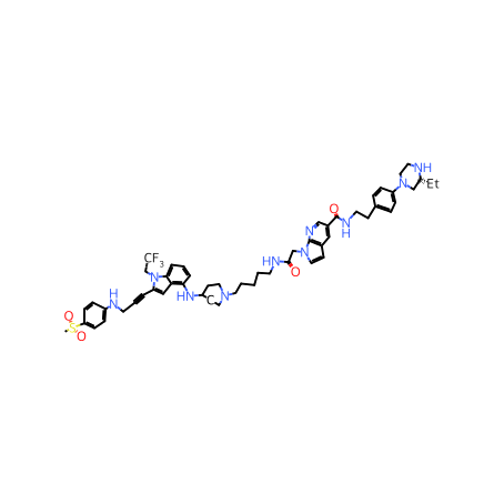 CC[C@@H]1CN(c2ccc(CCNC(=O)c3cnc4c(ccn4CC(=O)NCCCCCN4CCC(Nc5cccc6c5cc(C#CCNc5ccc(S(C)(=O)=O)cc5)n6CC(F)(F)F)CC4)c3)cc2)CCN1